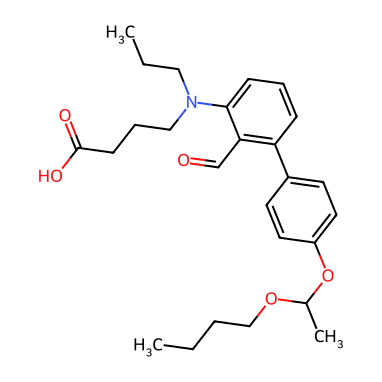 CCCCOC(C)Oc1ccc(-c2cccc(N(CCC)CCCC(=O)O)c2C=O)cc1